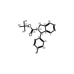 Cc1ccc(C2c3ccccc3CN2C(=O)OC(C)(C)C)cc1